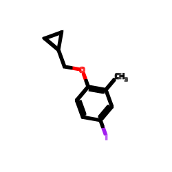 Cc1cc(I)ccc1OCC1CC1